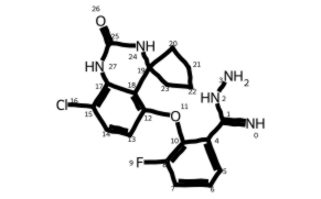 N=C(NN)c1cccc(F)c1Oc1ccc(Cl)c2c1C1(CCCC1)NC(=O)N2